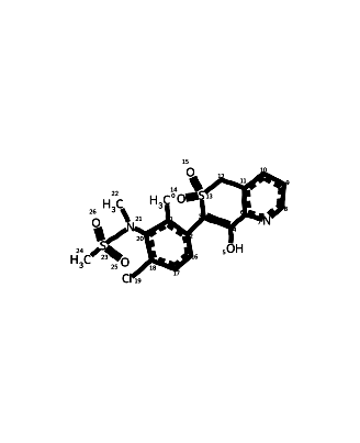 Cc1c(C2=C(O)c3ncccc3CS2(=O)=O)ccc(Cl)c1N(C)S(C)(=O)=O